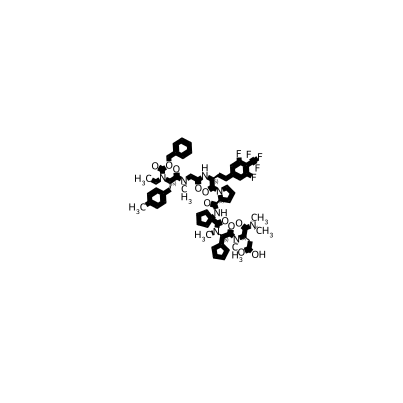 CCN(C(=O)OCc1ccccc1)[C@@H](Cc1ccc(C)cc1)C(=O)N(C)CC(=O)N[C@@H](CCc1cc(F)c(C(F)(F)F)c(F)c1)C(=O)N1CCC[C@H]1C(=O)NC1(C(=O)N(C)[C@H](C(=O)N(C)[C@@H](CC(=O)O)C(=O)N(C)C)C2CCCC2)CCCC1